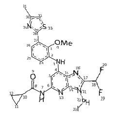 COc1c(Nc2cc(NC(=O)C3CC3)nc3c2nc(C(F)F)n3PI)cccc1-c1nc(C)cs1